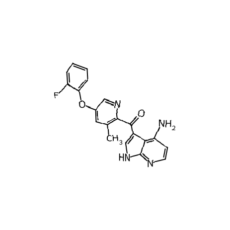 Cc1cc(Oc2ccccc2F)cnc1C(=O)c1c[nH]c2nccc(N)c12